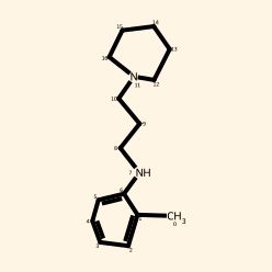 Cc1ccccc1NCCCN1CCCCC1